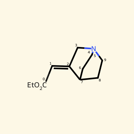 CCOC(=O)C=C1CN2CCC1CC2